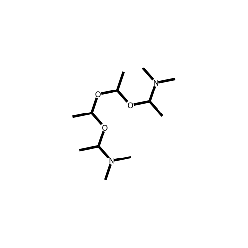 CC(OC(C)OC(C)N(C)C)OC(C)N(C)C